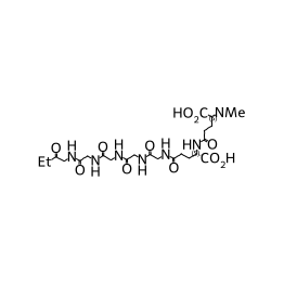 CCC(=O)CNC(=O)CNC(=O)CNC(=O)CNC(=O)CNC(=O)CC[C@H](NC(=O)CC[C@H](NC)C(=O)O)C(=O)O